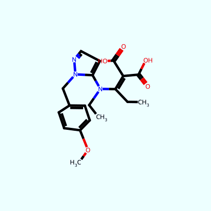 CCC(=C(C(=O)O)C(=O)O)N(CC)c1ccnn1Cc1ccc(OC)cc1